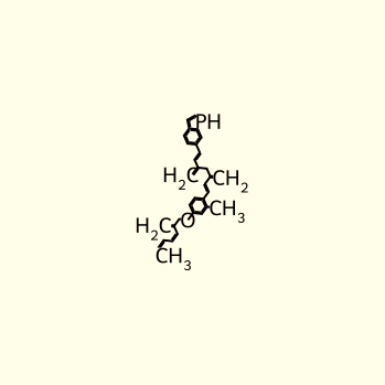 C=C(/C=C\C=C/C)COc1ccc(/C=C/C(=C)CC(=C)/C=C/c2ccc3cc[pH]c3c2)c(C)c1